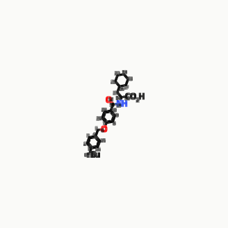 CCCCc1ccc(COc2ccc(C(=O)N[C@@H](CC3CCCCC3)C(=O)O)cc2)cc1